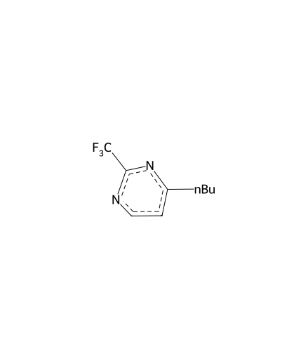 CCCCc1ccnc(C(F)(F)F)n1